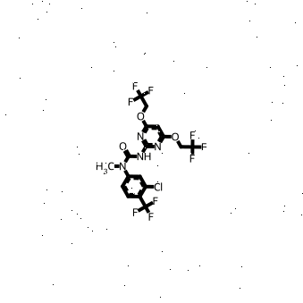 CN(C(=O)Nc1nc(OCC(F)(F)F)cc(OCC(F)(F)F)n1)c1ccc(C(F)(F)F)c(Cl)c1